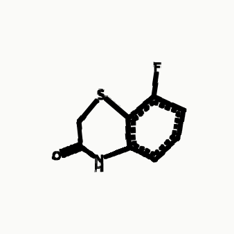 O=C1CSc2c(F)cccc2N1